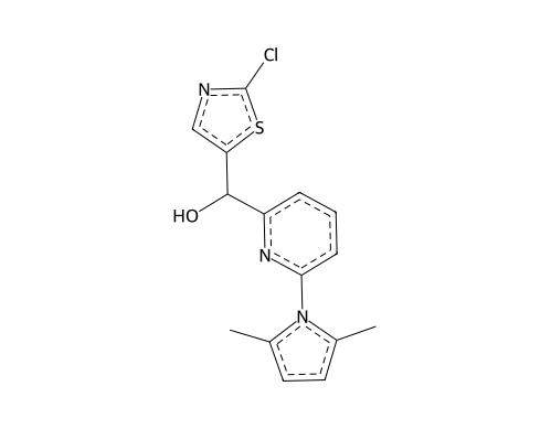 Cc1ccc(C)n1-c1cccc(C(O)c2cnc(Cl)s2)n1